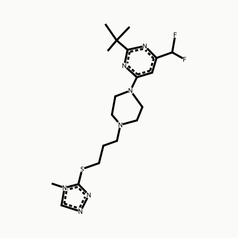 Cn1cnnc1SCCCN1CCN(c2cc(C(F)F)nc(C(C)(C)C)n2)CC1